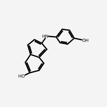 Oc1ccc(Nc2ccc3cc(O)ccc3c2)cc1